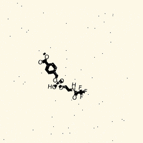 COC(=O)c1ccc(COP(=O)(O)OCCNC(=O)C(F)(F)F)cc1